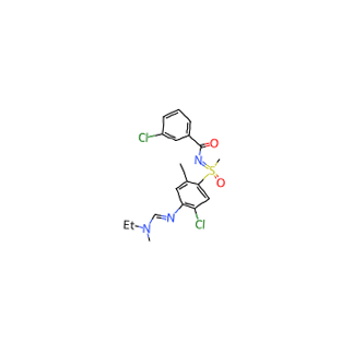 CCN(C)C=Nc1cc(C)c(S(C)(=O)=NC(=O)c2cccc(Cl)c2)cc1Cl